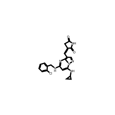 O=C1CC(=Cc2cnn3c(NC4CC4)cc(NCc4ccccc4Cl)nc23)C(=O)N1